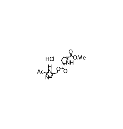 COC(=O)[C@@H]1CC[C@@H](C(=O)OCc2cnc(C(C)=O)[nH]2)N1.Cl